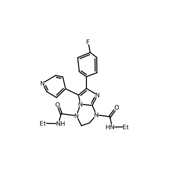 CCNC(=O)N1CCN(C(=O)NCC)n2c1nc(-c1ccc(F)cc1)c2-c1ccncc1